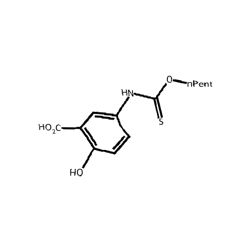 CCCCCOC(=S)Nc1ccc(O)c(C(=O)O)c1